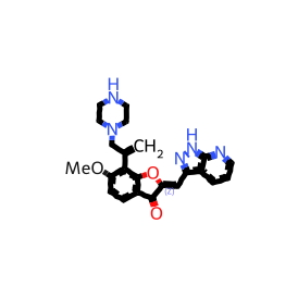 C=C(CN1CCNCC1)c1c(OC)ccc2c1O/C(=C\c1n[nH]c3ncccc13)C2=O